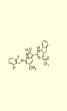 Cc1cc(OCc2c(F)cccc2F)n2nc(C)c(C(=O)N[C@H]3c4ccccc4C[C@H]3OC(=O)C(F)(F)F)c2c1